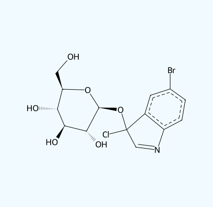 OC[C@H]1O[C@@H](OC2(Cl)C=Nc3ccc(Br)cc32)[C@H](O)[C@@H](O)[C@@H]1O